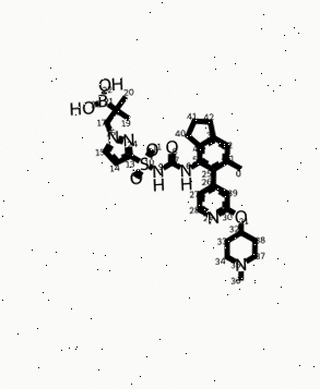 Cc1cc2c(c(NC(=O)NS(=O)(=O)c3ccn(CC(C)(C)B(O)O)n3)c1-c1ccnc(OC3CCN(C)CC3)c1)CCC2